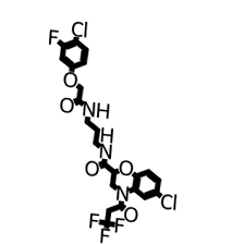 O=C(COc1ccc(Cl)c(F)c1)NCCCNC(=O)C1CN(C(=O)CC(F)(F)F)c2cc(Cl)ccc2O1